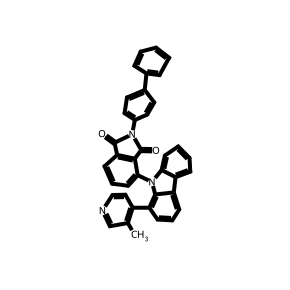 Cc1cnccc1-c1cccc2c3ccccc3n(-c3cccc4c3C(=O)N(c3ccc(-c5ccccc5)cc3)C4=O)c12